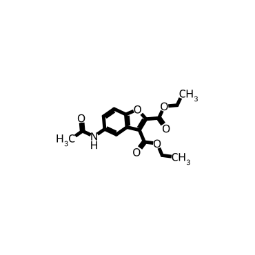 CCOC(=O)c1oc2ccc(NC(C)=O)cc2c1C(=O)OCC